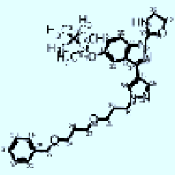 CC(C)(C)[Si](C)(C)Oc1ccc2c(c1)c(-c1cnn(CCCOCCCOCc3ccccc3)c1)nn2C1NCCO1